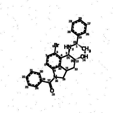 C[C@H](N[C@@H]1c2c(Br)ccc3c2C(C[C@H]1O)CN3C(=O)c1ccccc1)c1ccccc1